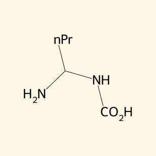 CCCC(N)NC(=O)O